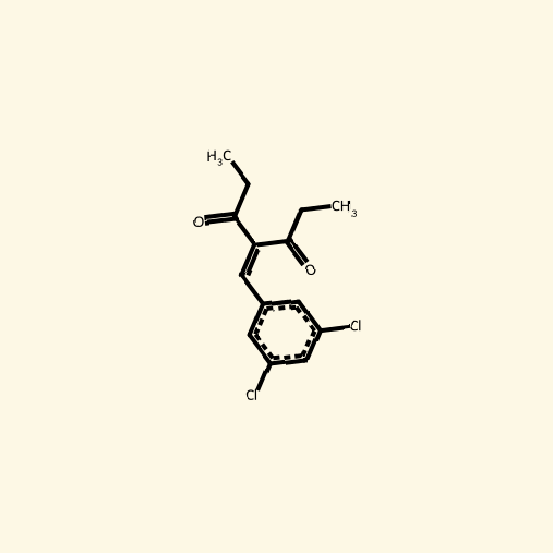 CCC(=O)C(=Cc1cc(Cl)cc(Cl)c1)C(=O)CC